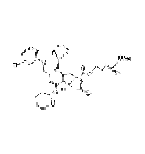 COC(=O)CCCOC(=O)[C@]12CC(=O)C[C@H]1C(/C(=C\CCOc1cccc(Cl)c1)OC1CCCCO1)C(OC1CCCCO1)C2